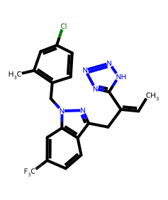 CC=C(Cc1nn(Cc2ccc(Cl)cc2C)c2cc(C(F)(F)F)ccc12)c1nnn[nH]1